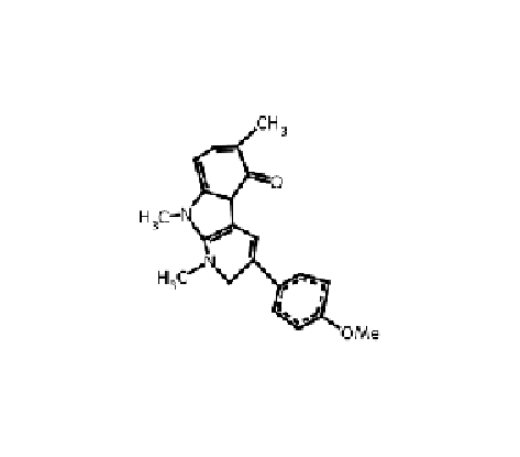 COc1ccc(C2=CC3=C(N(C)C2)N(C)C2=CC=C(C)C(=O)C23)cc1